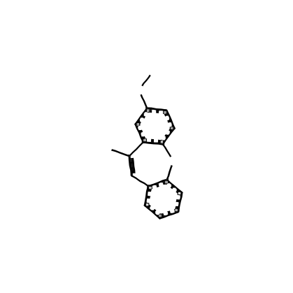 COc1ccc2c(c1)C(C)=Cc1ccccc1S2